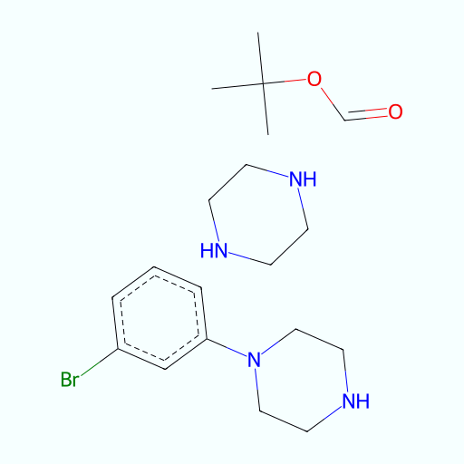 Brc1cccc(N2CCNCC2)c1.C1CNCCN1.CC(C)(C)OC=O